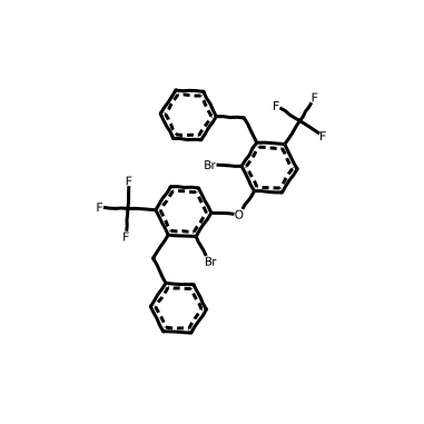 FC(F)(F)c1ccc(Oc2ccc(C(F)(F)F)c(Cc3ccccc3)c2Br)c(Br)c1Cc1ccccc1